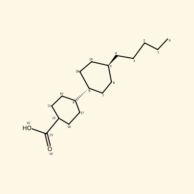 CCCCC[C@H]1CC[C@H](C2CCC(C(=O)O)CC2)CC1